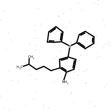 CC(C)CCCc1cc(N(c2ccccc2)c2ccccc2)ccc1N